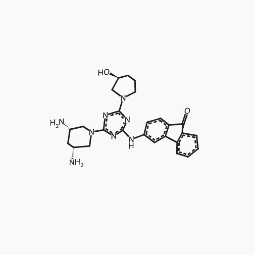 N[C@@H]1C[C@H](N)CN(c2nc(Nc3ccc4c(c3)-c3ccccc3C4=O)nc(N3CCC[C@H](O)C3)n2)C1